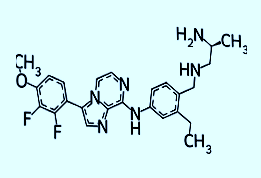 CCc1cc(Nc2nccn3c(-c4ccc(OC)c(F)c4F)cnc23)ccc1CNC[C@H](C)N